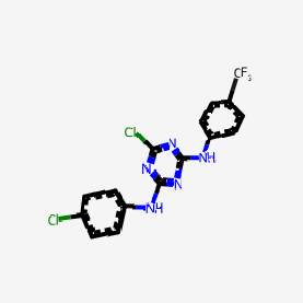 FC(F)(F)c1ccc(Nc2nc(Cl)nc(Nc3ccc(Cl)cc3)n2)cc1